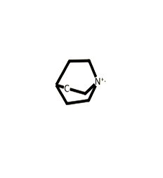 C1C[N+]2CCC1CC2